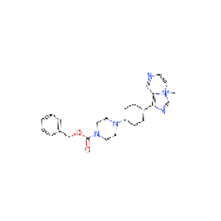 C[N+]12C=CN=CC1=C(C1CCC(N3CCN(C(=O)OCc4ccccc4)CC3)CC1)N=C2